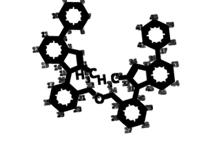 CC1=Cc2c(-c3ccccc3)cccc2C1c1ccccc1COCc1ccccc1C1C(C)=Cc2c(-c3ccccc3)cccc21